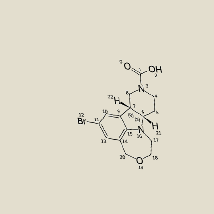 O=C(O)N1CC[C@H]2[C@@H](C1)c1cc(Br)cc3c1N2CCOC3